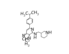 C/N=C1/C=C(c2ccc(C(C)C)cc2)N=C(NCC2CCCNC2)/C1=N/C